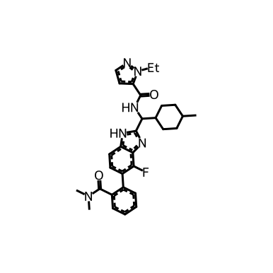 CCn1nccc1C(=O)NC(c1nc2c(F)c(-c3ccccc3C(=O)N(C)C)ccc2[nH]1)C1CCC(C)CC1